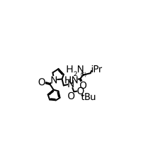 CC(C)C[C@H](N)C(=O)NN(CC1C=CCN1C(=O)c1ccccc1)C(=O)OC(C)(C)C